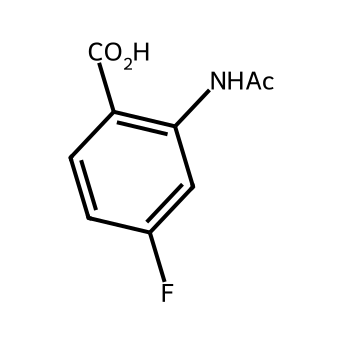 CC(=O)Nc1cc(F)ccc1C(=O)O